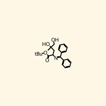 CC(O)(CO)CC(N=C(c1ccccc1)c1ccccc1)C(=O)OC(C)(C)C